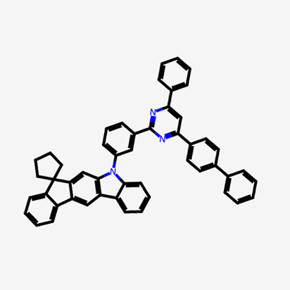 c1ccc(-c2ccc(-c3cc(-c4ccccc4)nc(-c4cccc(-n5c6ccccc6c6cc7c(cc65)C5(CCCC5)c5ccccc5-7)c4)n3)cc2)cc1